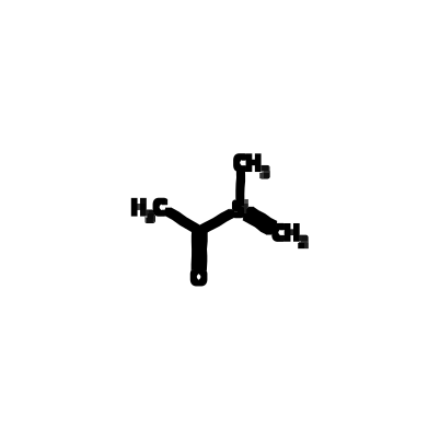 C=[Si](C)C(C)=O